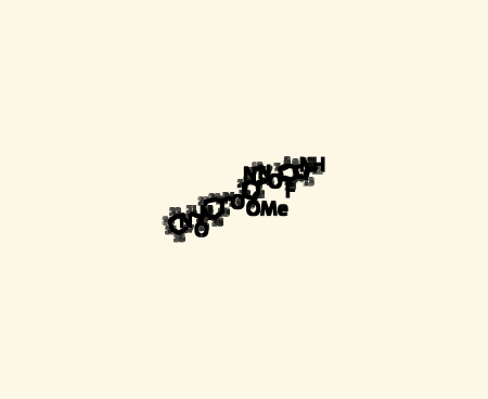 COc1cc2c(Oc3ccc4[nH]c(C)cc4c3F)ncnc2cc1OCC1CCN(C(=O)CN2CCCCC2)CC1